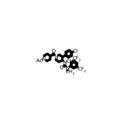 CC(=O)N1CCC(C(=O)N2CCC(N(C)C(=O)N(C)c3cc(C(F)(F)F)cc(C(F)(F)F)c3)C(c3ccc(Cl)cc3)C2)CC1